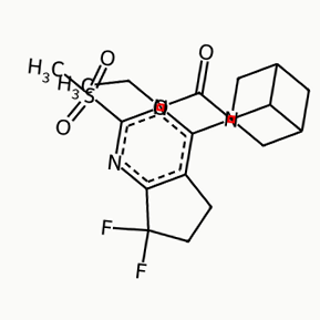 CCOC(=O)CC1C2CC1CN(c1nc(S(C)(=O)=O)nc3c1CCC3(F)F)C2